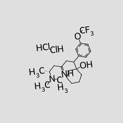 C[C@H](CC(=N)CC(c1cccc(OC(F)(F)F)c1)C1(O)CCCCC1)N(C)C.Cl.Cl